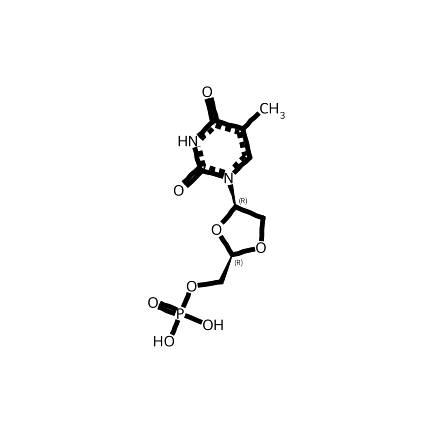 Cc1cn([C@H]2CO[C@@H](COP(=O)(O)O)O2)c(=O)[nH]c1=O